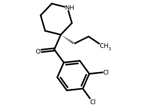 CCC[C@]1(C(=O)c2ccc(Cl)c(Cl)c2)CCCNC1